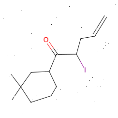 C=CCC(I)C(=O)C1CCCC(C)(C)C1